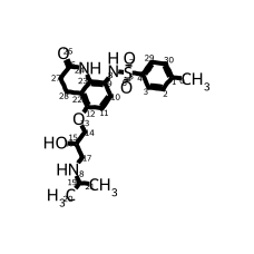 Cc1ccc(S(=O)(=O)Nc2ccc(OCC(O)CNC(C)C)c3c2NC(=O)CC3)cc1